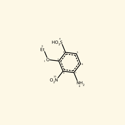 CCOc1c(S(=O)(=O)O)ccc(N)c1[N+](=O)[O-]